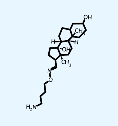 C[C@]12CCC(O)CC1CC[C@@H]1[C@H]2CC[C@]2(C)C(C=NOCCCCN)CC[C@@]12O